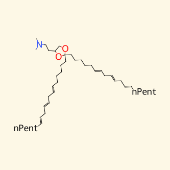 CCCCCC=CCC=CCC=CCCCCCC1(CCCCCC=CCC=CCC=CCCCCC)OCC(CCN(C)C)O1